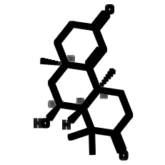 CC1(C)C(=O)CC[C@]2(C)C3=CC(=O)CC[C@]3(C)C[C@H](O)[C@@H]12